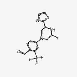 O=Cc1ccc(N2CC(I)NC(c3nccs3)C2)cc1C(F)(F)F